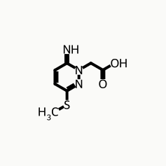 CSc1ccc(=N)n(CC(=O)O)n1